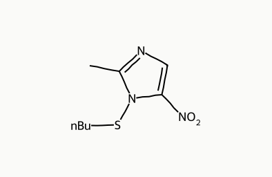 [CH2]CCCSn1c([N+](=O)[O-])cnc1C